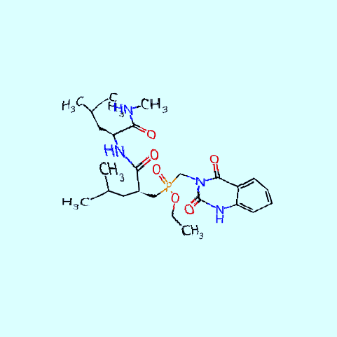 CCOP(=O)(C[C@@H](CC(C)C)C(=O)N[C@@H](CC(C)C)C(=O)NC)Cn1c(=O)[nH]c2ccccc2c1=O